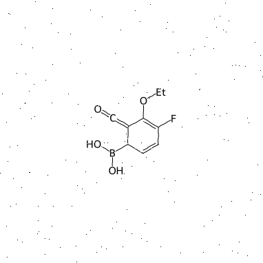 CCOC1=C(F)C=CC(B(O)O)C1=C=O